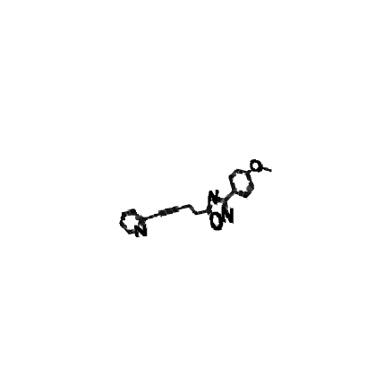 COc1ccc(-c2noc(CCC#Cc3ccccn3)n2)cc1